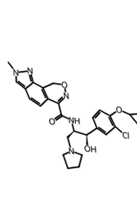 Cn1cc2ccc3c(c2n1)CON=C3C(=O)N[C@H](CN1CCCC1)[C@H](O)c1ccc(OC2CC2)c(Cl)c1